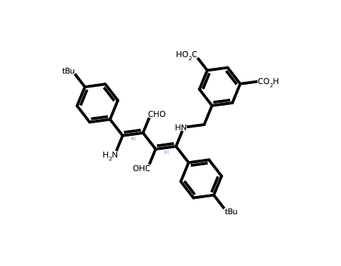 CC(C)(C)c1ccc(/C(N)=C(C=O)/C(C=O)=C(\NCc2cc(C(=O)O)cc(C(=O)O)c2)c2ccc(C(C)(C)C)cc2)cc1